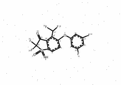 N=S1(=O)c2ccc(Oc3cc(F)cc(F)c3)c(C(F)F)c2C(=O)C1(F)F